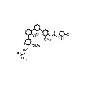 COc1nc(-c2cccc(-c3cccc(-c4cnc(CNC[C@H](C)O)c(OC)n4)c3Cl)c2Cl)cnc1CNC[C@@H]1CCC(=O)N1